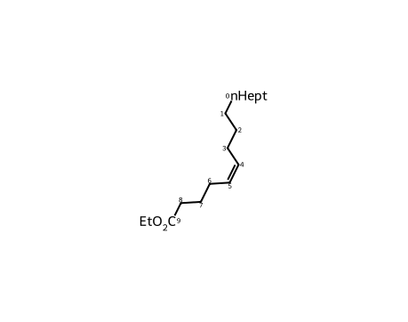 CCCCCCCCCC/C=C\CCCC(=O)OCC